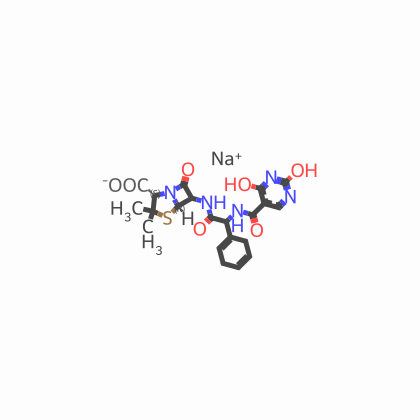 CC1(C)S[C@@H]2C(NC(=O)C(NC(=O)c3cnc(O)nc3O)C3=CCC=CC3)C(=O)N2[C@H]1C(=O)[O-].[Na+]